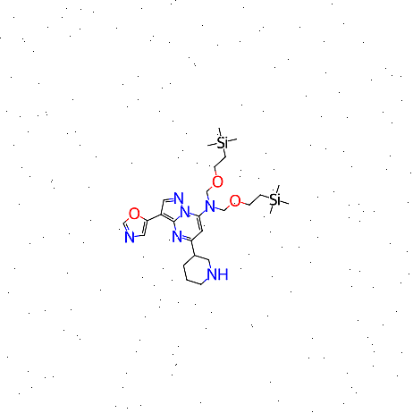 C[Si](C)(C)CCOCN(COCC[Si](C)(C)C)c1cc(C2CCCNC2)nc2c(-c3cnco3)cnn12